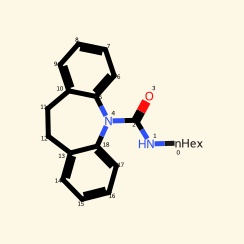 CCCCCCNC(=O)N1c2ccccc2CCc2ccccc21